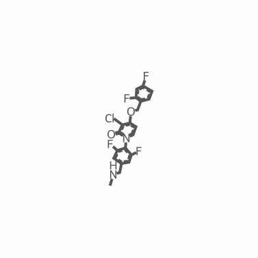 CNCc1cc(F)c(-n2ccc(OCc3ccc(F)cc3F)c(Cl)c2=O)c(F)c1